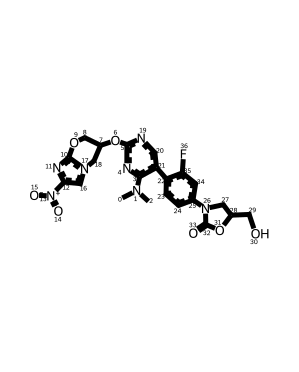 CN(C)c1nc(OC2COc3nc([N+](=O)[O-])cn3C2)ncc1-c1ccc(N2CC(CO)OC2=O)cc1F